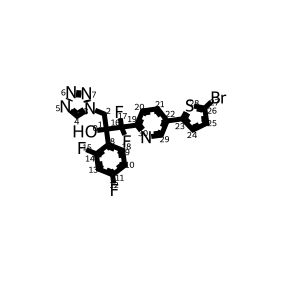 OC(Cn1cnnn1)(c1ccc(F)cc1F)C(F)(F)c1ccc(-c2ccc(Br)s2)cn1